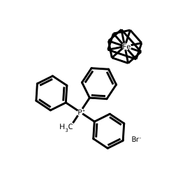 C[P+](c1ccccc1)(c1ccccc1)c1ccccc1.[Br-].[CH]12[CH]3[CH]4[CH]5[CH]1[Fe]23451678[CH]2[CH]1[CH]6[CH]7[CH]28